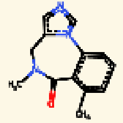 Cc1cccc2c1C(=O)N(C)Cc1cncn1-2